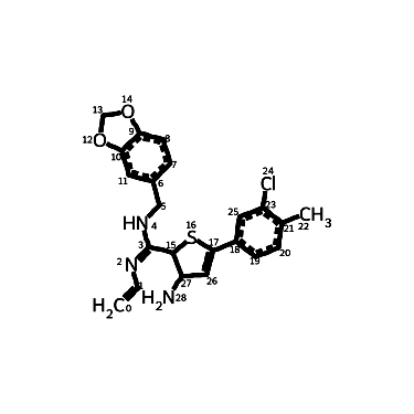 C=C/N=C(/NCc1ccc2c(c1)OCO2)C1SC(c2ccc(C)c(Cl)c2)=CC1N